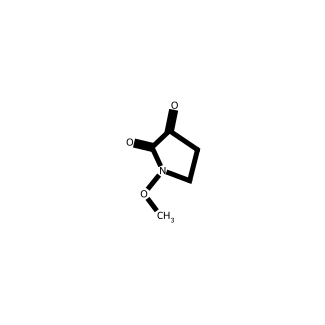 CON1CCC(=O)C1=O